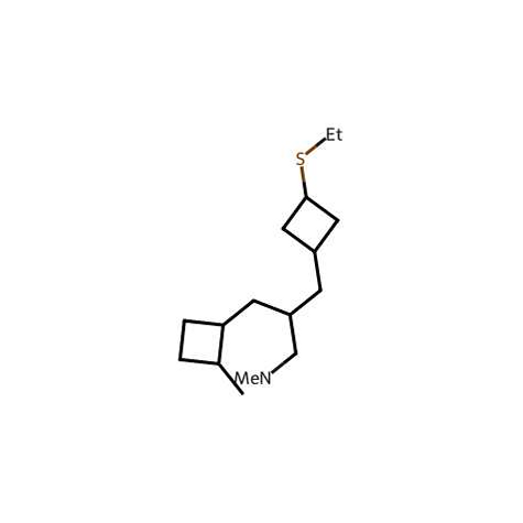 CCSC1CC(CC(CNC)CC2CCC2C)C1